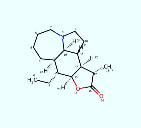 CC[C@@H]1[C@H]2CCCCN3CC[C@H]([C@@H]4[C@H]1OC(=O)[C@H]4C)[C@@H]23